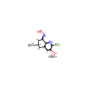 CCCCOc1cc2c(nc1Cl)C(=NO)CC(C(C)C)C2